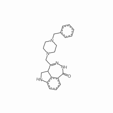 O=C1NN=C(CN2CCN(Cc3ccccc3)CC2)C2CNc3cccc1c32